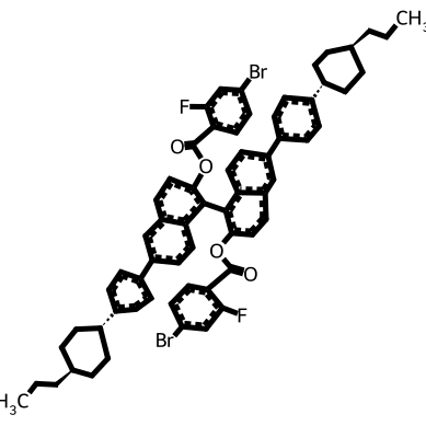 CCC[C@H]1CC[C@H](c2ccc(-c3ccc4c(-c5c(OC(=O)c6ccc(Br)cc6F)ccc6cc(-c7ccc([C@H]8CC[C@H](CCC)CC8)cc7)ccc56)c(OC(=O)c5ccc(Br)cc5F)ccc4c3)cc2)CC1